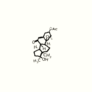 CC(=O)O[C@H]1CC[C@@]2(C)C(=CC(=O)[C@@H]3[C@@H]2CC[C@@]2(C)[C@H]3CC[C@]2(C)O)C1